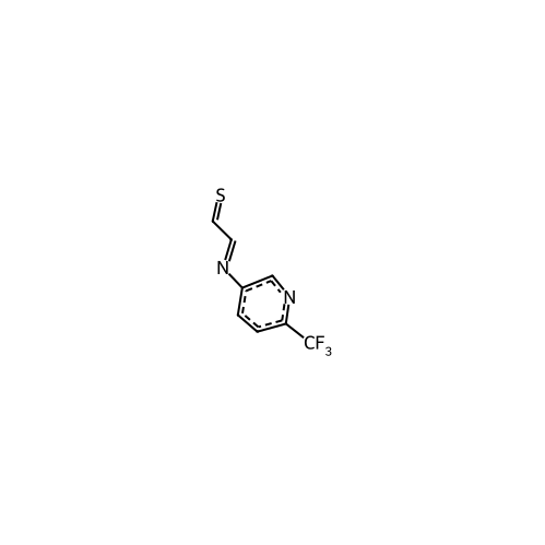 FC(F)(F)c1ccc(N=CC=S)cn1